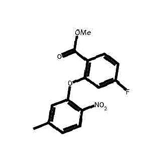 COC(=O)c1ccc(F)cc1Oc1cc(C)ccc1[N+](=O)[O-]